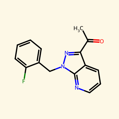 CC(=O)c1nn(Cc2ccccc2F)c2ncccc12